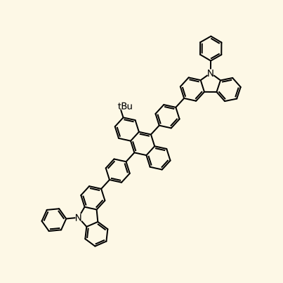 CC(C)(C)c1ccc2c(-c3ccc(-c4ccc5c(c4)c4ccccc4n5-c4ccccc4)cc3)c3ccccc3c(-c3ccc(-c4ccc5c(c4)c4ccccc4n5-c4ccccc4)cc3)c2c1